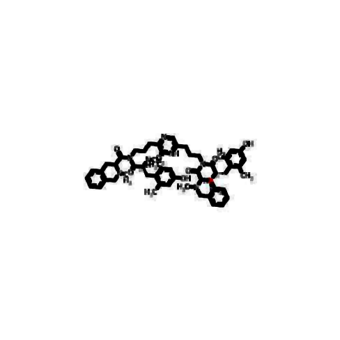 CN[C@@H](Cc1c(C)cc(O)cc1C)C(=O)N(CCCc1cnc(CCCN(C(=O)C2Cc3ccccc3CN2C)C(=O)[C@H](Cc2c(C)cc(O)cc2C)NC)c(=O)[nH]1)C(=O)C1Cc2ccccc2CN1C